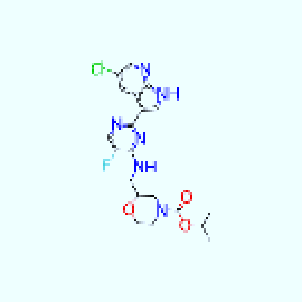 CC(C)OC(=O)N1CCOC(CNc2nc(-c3c[nH]c4ncc(Cl)cc34)ncc2F)C1